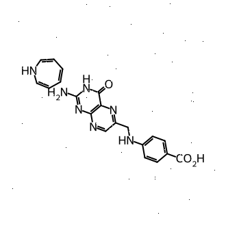 C1=CC=CNC=C1.Nc1nc2ncc(CNc3ccc(C(=O)O)cc3)nc2c(=O)[nH]1